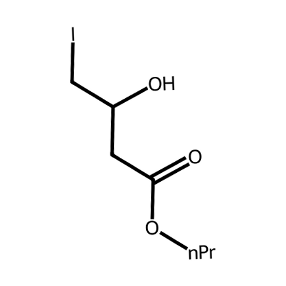 CCCOC(=O)CC(O)CI